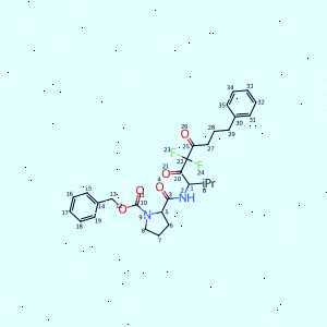 CC(C)C(NC(=O)C1CCCN1C(=O)OCc1ccccc1)C(=O)C(F)(F)C(=O)CCCc1ccccc1